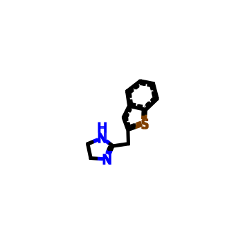 c1ccc2sc(CC3=NCCN3)cc2c1